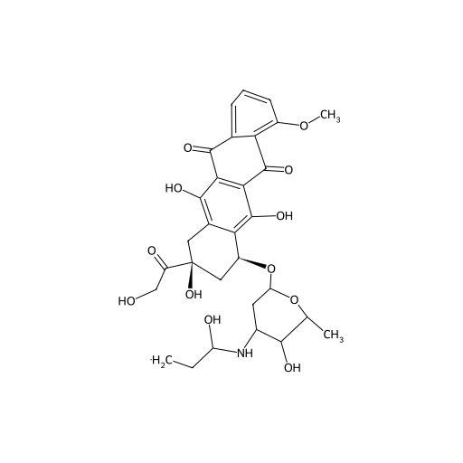 [CH2]CC(O)NC1CC(O[C@H]2C[C@](O)(C(=O)CO)Cc3c(O)c4c(c(O)c32)C(=O)c2c(OC)cccc2C4=O)OC(C)C1O